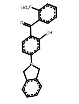 O=C(O)c1ccccc1C(=O)c1ccc(N2Cc3ccccc3C2)cc1O